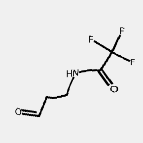 O=CCCNC(=O)C(F)(F)F